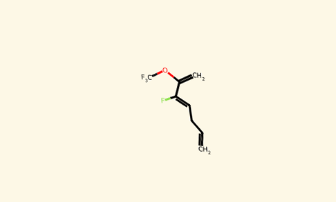 C=CCC=C(F)C(=C)OC(F)(F)F